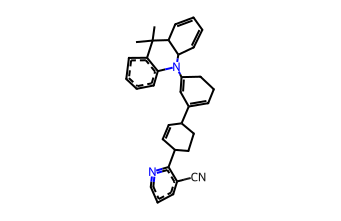 CC1(C)c2ccccc2N(C2=CC(C3C=CC(c4ncccc4C#N)CC3)=CCC2)C2C=CC=CC21